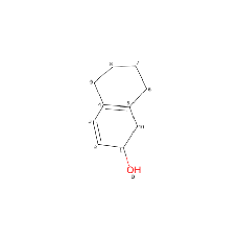 OC1C=CC2=C(CCCC2)C1